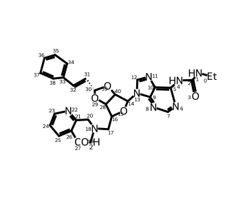 CCNC(=O)Nc1ncnc2c1ncn2C1OC(CN(C)Cc2ncccc2C(=O)O)C2O[C@H](/C=C/c3ccccc3)OC21